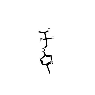 Cc1ccc(OCC(F)(F)C(C)F)cn1